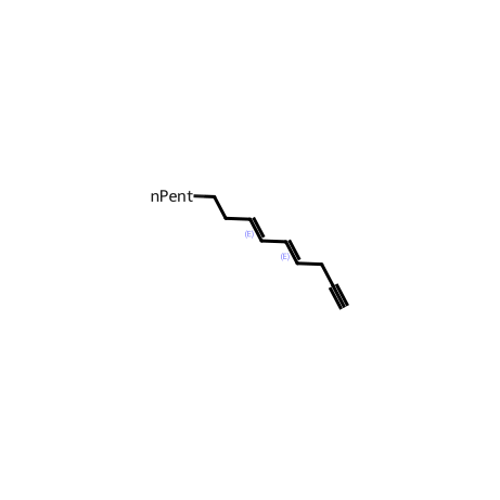 C#CC/C=C/C=C/CCCCCCC